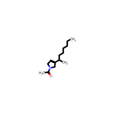 CCCCCCC(C)C1=CCN(C(C)=O)C1